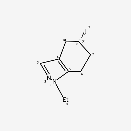 CCn1ncc2c1CC[C@@H](I)C2